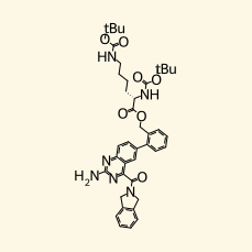 CC(C)(C)OC(=O)NCCCC[C@H](NC(=O)OC(C)(C)C)C(=O)OCc1ccccc1-c1ccc2nc(N)nc(C(=O)N3Cc4ccccc4C3)c2c1